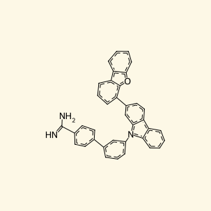 N=C(N)c1ccc(-c2cccc(-n3c4ccccc4c4ccc(-c5cccc6c5oc5ccccc56)cc43)c2)cc1